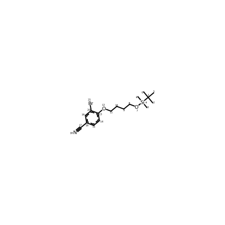 CC(C)(C)[Si](C)(C)OCCCCOc1ccc(C#N)cc1Br